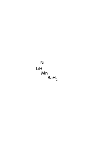 [BaH2].[LiH].[Mn].[Ni]